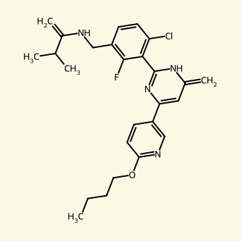 C=C1C=C(c2ccc(OCCCC)nc2)N=C(c2c(Cl)ccc(CNC(=C)C(C)C)c2F)N1